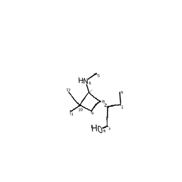 CCCCO.CNC1CCC1(C)C